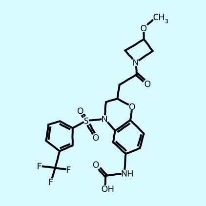 COC1CN(C(=O)CC2CN(S(=O)(=O)c3cccc(C(F)(F)F)c3)c3cc(NC(=O)O)ccc3O2)C1